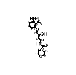 Cc1n[nH]c2cccc(OC[C@@H](O)CCNC(=O)N3CCOCC3)c12